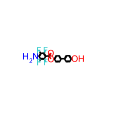 Nc1c(F)c(F)c(C(=O)Oc2ccc(-c3ccc(O)cc3)cc2)c(F)c1F